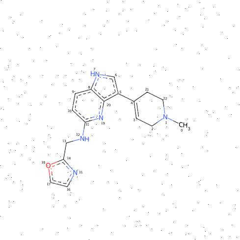 CN1CC=C(c2c[nH]c3ccc(NCc4ncco4)nc23)CC1